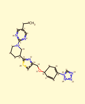 CCc1cnc(N2CCCC(c3nc(COC4C=CC(n5cnnn5)=CC4)cs3)C2)nc1